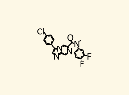 CN(C(=O)c1cn2c(-c3ccc(Cl)cc3)cnc2cn1)c1ccc(F)c(F)c1